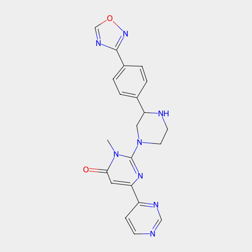 Cn1c(N2CCNC(c3ccc(-c4ncon4)cc3)C2)nc(-c2ccncn2)cc1=O